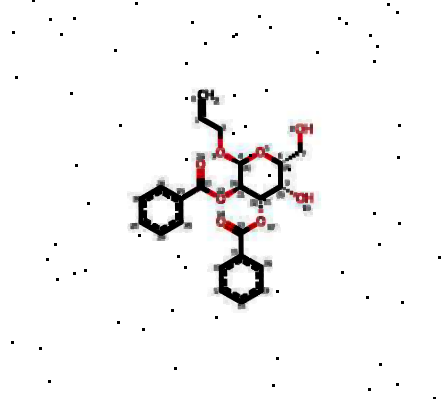 C=CCO[C@H]1O[C@H](CO)[C@H](O)[C@H](OC(=O)c2ccccc2)[C@H]1OC(=O)c1ccccc1